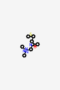 c1ccc(-c2nc(-c3ccccc3)nc(-c3cccc(-c4nc5ccc(-c6cccc7sc8ccccc8c67)cc5c5c4oc4ccccc45)c3)n2)cc1